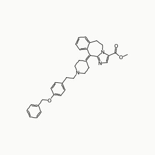 COC(=O)c1cnc2n1CCc1ccccc1C2=C1CCN(CCc2ccc(OCc3ccccc3)cc2)CC1